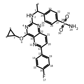 CC(Nc1nc(OC2CC2)c2nc(-c3ccc(F)cc3)ccc2n1)c1ccc(S(N)(=O)=O)cc1